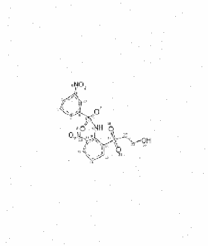 O=[N+]([O-])c1cccc(S(=O)(=O)Nc2c([N+](=O)[O-])cccc2S(=O)(=O)CCO)c1